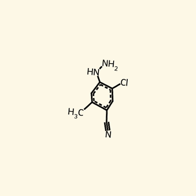 Cc1cc(NN)c(Cl)cc1C#N